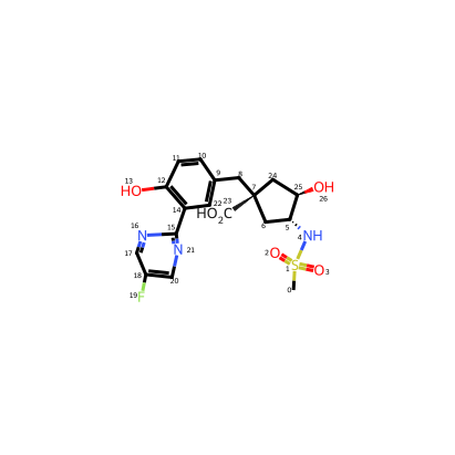 CS(=O)(=O)N[C@@H]1C[C@@](Cc2ccc(O)c(-c3ncc(F)cn3)c2)(C(=O)O)C[C@H]1O